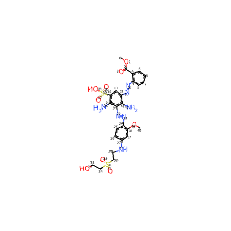 COC(=O)c1ccccc1/N=N/c1cc(S(=O)(=O)O)c(N)c(/N=N/c2ccc(NCCS(=O)(=O)CCO)cc2OC)c1N